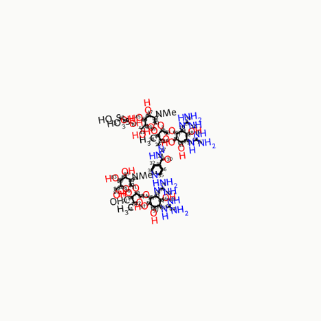 CN[C@@H]1[C@H](O[C@H]2[C@H](O[C@H]3[C@H](O)[C@@H](O)[C@H](NC(=N)N)[C@@H](O)[C@@H]3NC(=N)N)O[C@@H](/C=N/NC(=O)c3ccncc3)[C@@]2(C)O)O[C@@H](CO)[C@H](O)[C@H]1O.CN[C@@H]1[C@H](O[C@H]2[C@H](O[C@H]3[C@H](O)[C@@H](O)[C@H](NC(=N)N)[C@@H](O)[C@@H]3NC(=N)N)O[C@@H](C)[C@]2(O)C=O)O[C@@H](CO)[C@H](O)[C@H]1O.O=S(=O)(O)O.O=S(=O)(O)O